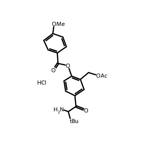 COc1ccc(C(=O)Oc2ccc(C(=O)C(N)C(C)(C)C)cc2COC(C)=O)cc1.Cl